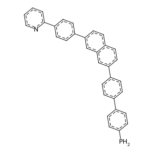 Pc1ccc(-c2ccc(-c3ccc4ccc(-c5ccc(-c6ccccn6)cc5)cc4c3)cc2)cc1